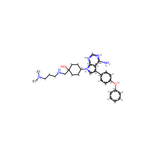 CCN(CC)CCCNCC1(O)CCC(n2cc(-c3ccc(Oc4ccccc4)cc3)c3c(N)ncnc32)CC1